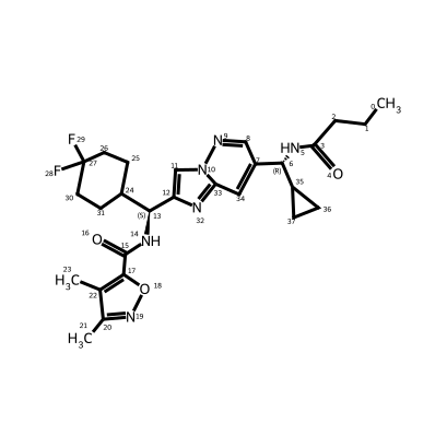 CCCC(=O)N[C@@H](c1cnn2cc([C@@H](NC(=O)c3onc(C)c3C)C3CCC(F)(F)CC3)nc2c1)C1CC1